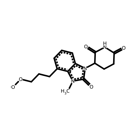 Cn1c(=O)n(C2CCC(=O)NC2=O)c2cccc(CCCO[O])c21